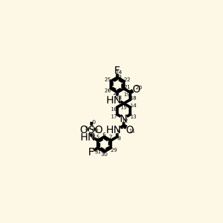 CS(=O)(=O)Nc1cc(CNC(=O)N2CCC3(CC2)CC(=O)c2cc(F)ccc2N3)ccc1F